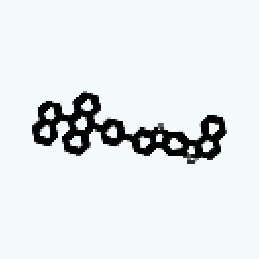 c1ccc2c(-c3c4ccccc4c(-c4ccc(-c5ccc6c(c5)sc5cc7c(cc56)oc5ccc6ccccc6c57)cc4)c4ccccc34)cccc2c1